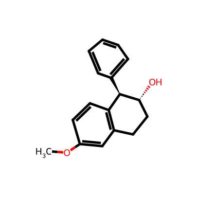 COc1ccc2c(c1)CC[C@@H](O)[C@@H]2c1ccccc1